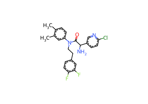 Cc1ccc(N(CCc2ccc(F)c(F)c2)C(=O)C(N)c2ccc(Cl)nc2)cc1C